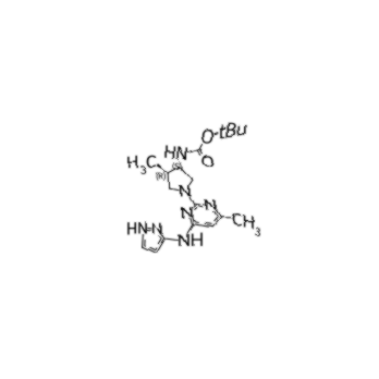 Cc1cc(Nc2cc[nH]n2)nc(N2C[C@@H](C)[C@H](NC(=O)OC(C)(C)C)C2)n1